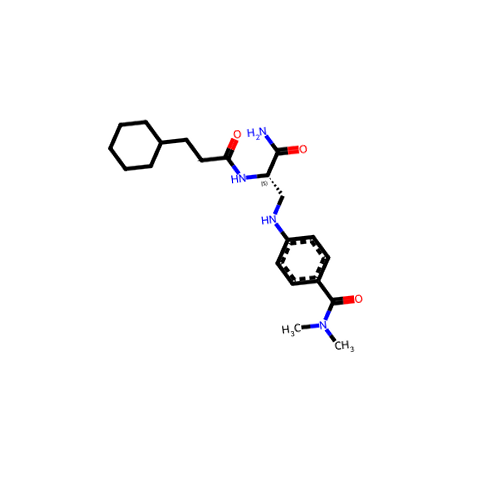 CN(C)C(=O)c1ccc(NC[C@H](NC(=O)[CH]CC2CCCCC2)C(N)=O)cc1